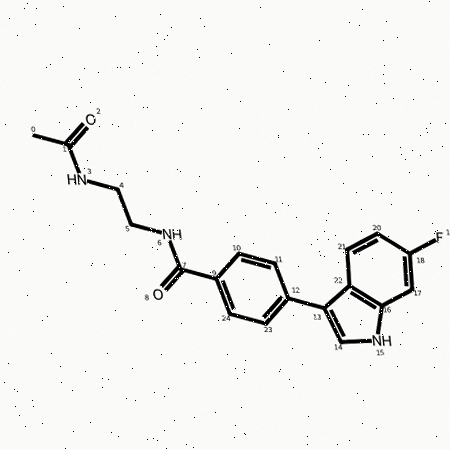 CC(=O)NCCNC(=O)c1ccc(-c2c[nH]c3cc(F)ccc23)cc1